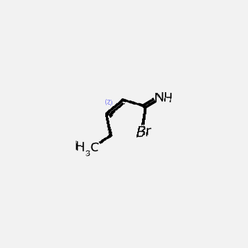 CC/C=C\C(=N)Br